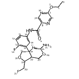 CCOc1cnc(C(=O)Nc2ccc(F)c(C34COC(CF)C3COC(N)=N4)c2)cn1